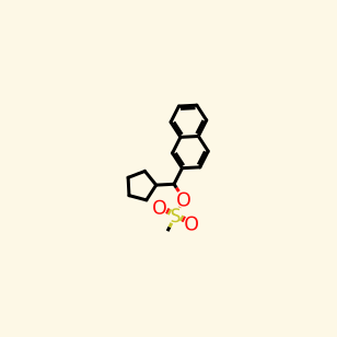 CS(=O)(=O)OC(c1ccc2ccccc2c1)C1CCCC1